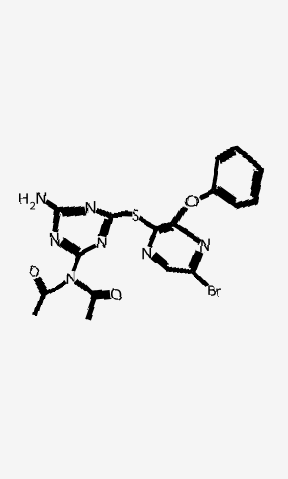 CC(=O)N(C(C)=O)c1nc(N)nc(Sc2ncc(Br)nc2Oc2ccccc2)n1